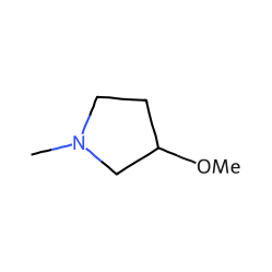 COC1CCN(C)C1